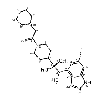 CC(C)(C1CCN(C(=O)CN2CCOCC2)CC1)C(O)c1cc(Cl)cc2[nH]ncc12